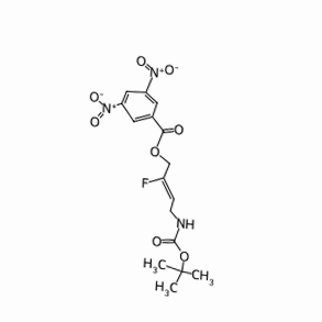 CC(C)(C)OC(=O)NCC=C(F)COC(=O)c1cc([N+](=O)[O-])cc([N+](=O)[O-])c1